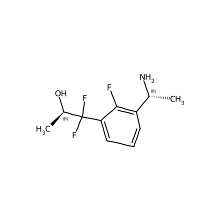 C[C@@H](N)c1cccc(C(F)(F)[C@@H](C)O)c1F